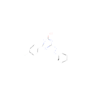 Oc1nc(NNc2ccccc2)nc(-c2ccc(Cl)cc2)n1